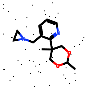 CC1OCC(C)(c2ncccc2CN2CC2)CO1